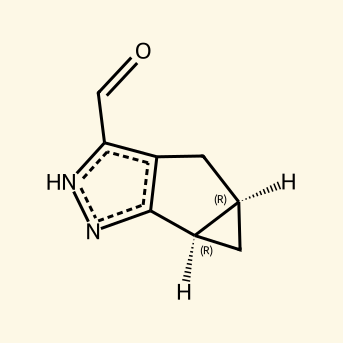 O=Cc1[nH]nc2c1C[C@H]1C[C@@H]21